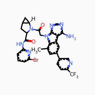 Cc1cc(-c2ccc(C(F)(F)F)nc2)cc2c3c(N)ncnc3n(CC(=O)N3C(C(=O)Nc4cccc(Br)n4)CC4C[C@H]43)c12